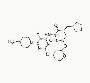 CN1CCN(c2nc(Cl)nc(NNC(=O)[C@@H](CC3CCCC3)CN(C=O)OC3CCCCO3)c2F)CC1